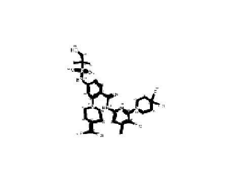 Cc1cc(NC(=O)c2ccc(NS(=O)(=O)C(C)(C)CO)cc2N2CCC(=C(F)F)CC2)nc(N2CCC(F)(F)CC2)c1F